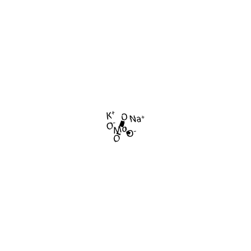 [K+].[Na+].[O]=[Mo](=[O])([O-])[O-]